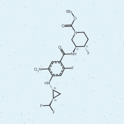 CC(C)(C)OC(=O)N1CC[C@H](F)[C@@H](NC(=O)c2cc([N+](=O)[O-])c(N[C@@H]3C[C@H]3C(F)F)cc2F)C1